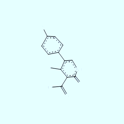 O=C(O)c1c(I)c(-c2ccc(F)cc2)c[nH]c1=O